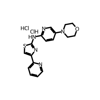 Cl.Cl.c1ccc(-c2csc(Nc3ccc(N4CCOCC4)cn3)n2)nc1